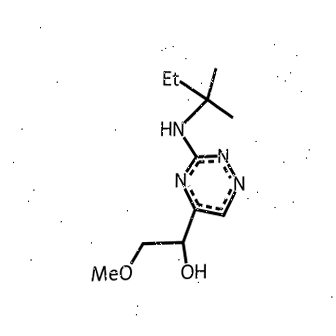 CCC(C)(C)Nc1nncc(C(O)COC)n1